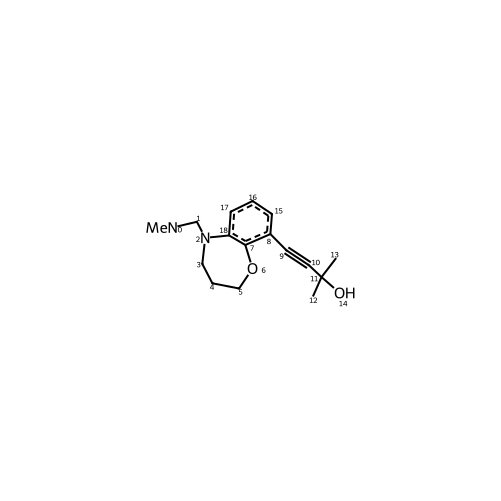 CNCN1CCCOc2c(C#CC(C)(C)O)cccc21